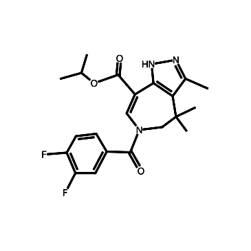 Cc1n[nH]c2c1C(C)(C)CN(C(=O)c1ccc(F)c(F)c1)C=C2C(=O)OC(C)C